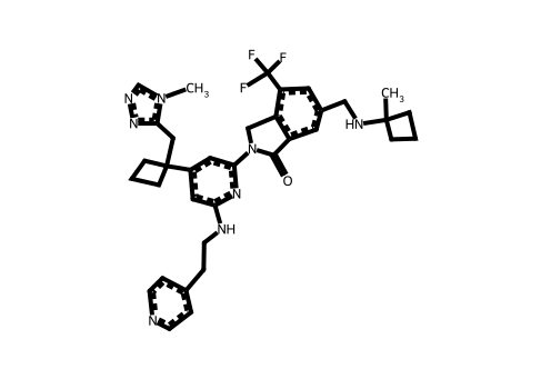 Cn1cnnc1CC1(c2cc(NCCc3ccncc3)nc(N3Cc4c(cc(CNC5(C)CCC5)cc4C(F)(F)F)C3=O)c2)CCC1